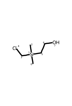 C[Si](C)(CCl)CCO